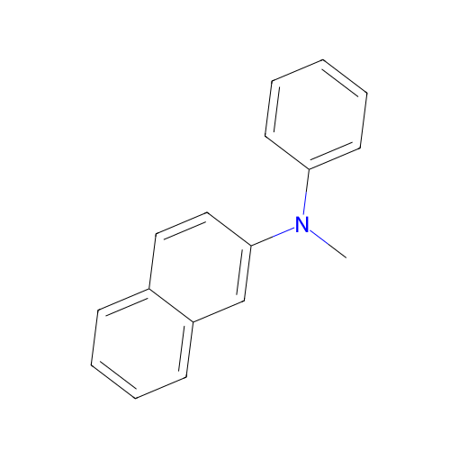 CN(c1ccccc1)c1ccc2ccccc2c1